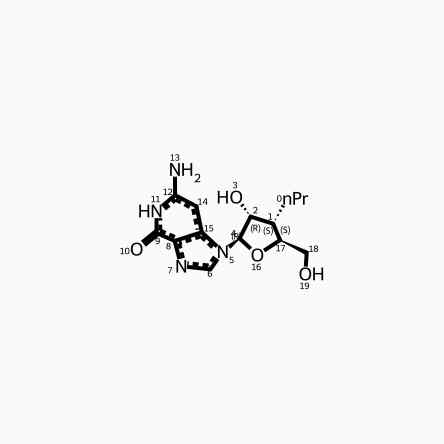 CCC[C@H]1[C@@H](O)[C@H](n2cnc3c(=O)[nH]c(N)cc32)O[C@@H]1CO